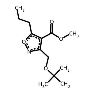 CCCc1onc(COC(C)(C)C)c1C(=O)OC